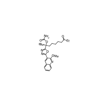 CCC(=O)CCCCC[C@@](OC(N)=O)(c1nnc(-c2cc3ccccc3nc2OC)o1)C(C)(C)C